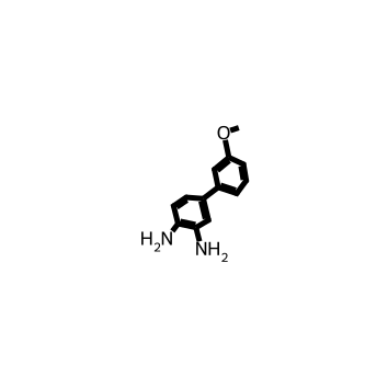 COc1cccc(-c2ccc(N)c(N)c2)c1